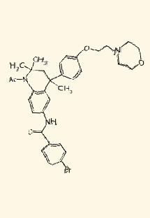 CC(=O)N1c2ccc(NC(=O)c3ccc(Br)cc3)cc2C(C)(c2ccc(OCCN3CCOCC3)cc2)CC1(C)C